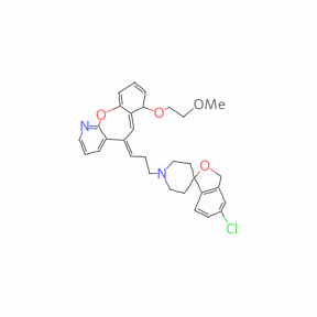 COCCOC1C=CC=C2Oc3ncccc3C(=CCCN3CCC4(CC3)OCc3cc(Cl)ccc34)C=C21